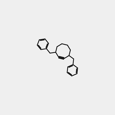 C1#CC(Cc2ccccc2)CCCC[C]1Cc1ccccc1